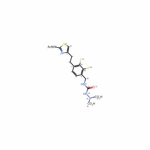 CC(=O)Nc1nc(CCc2ccc(CNC(=O)NN(C(=O)O)C(=O)O)c(F)c2F)cs1